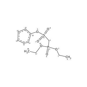 CCOP(=O)(CS(=O)(=O)Oc1ccccc1)OCC